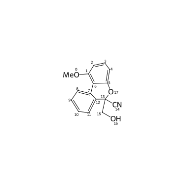 COc1cccc2c1-c1ccccc1C(C#N)(CO)O2